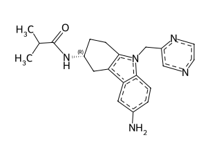 CC(C)C(=O)N[C@@H]1CCc2c(c3cc(N)ccc3n2Cc2cnccn2)C1